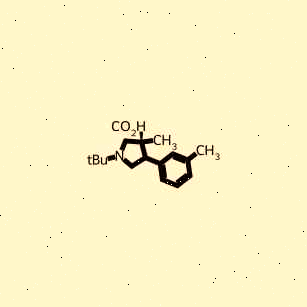 Cc1cccc(C2CN(C(C)(C)C)C[C@@]2(C)C(=O)O)c1